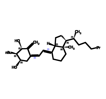 C=C1/C(=C\C=C2/CCC[C@]3(C)[C@@H]([C@H](C)CCCC(C)C)CC[C@@H]23)C[C@@H](O)[C@@H](CCCC)[C@@H]1O